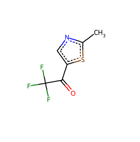 Cc1ncc(C(=O)C(F)(F)F)s1